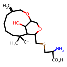 C=C1CCCCC(C)(C)C2C(CSCC(N)C(=O)O)OCC(OC1)C2O